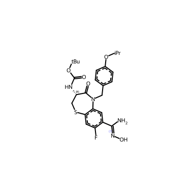 CC(C)Oc1ccc(CN2C(=O)[C@@H](NC(=O)OC(C)(C)C)CSc3cc(F)c(/C(N)=N/O)cc32)cc1